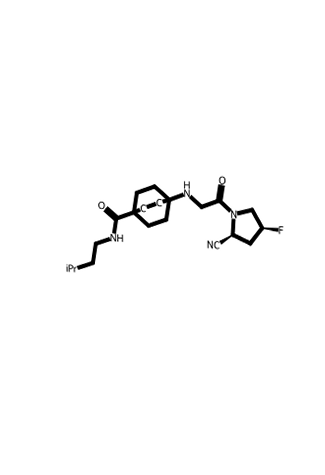 CC(C)CCNC(=O)C12CCC(NCC(=O)N3C[C@@H](F)C[C@H]3C#N)(CC1)CC2